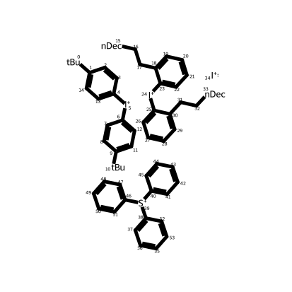 CC(C)(C)c1ccc([I+]c2ccc(C(C)(C)C)cc2)cc1.CCCCCCCCCCCCc1ccccc1[I+]c1ccccc1CCCCCCCCCCCC.[I+].c1ccc([S+](c2ccccc2)c2ccccc2)cc1